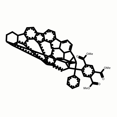 COC(=O)c1cc(C(=O)OC)c(C2(c3ccccc3)C34C5=CC26C2C7=CC=C8c9ccc%10c%11ccc%12c%13c%14c%15c(c3c3c%16c%17c(c9c%10c(c%11%13)c%17c3%14)C8C7C=%16C246)C5CCC%15%12)cc1C(=O)OC